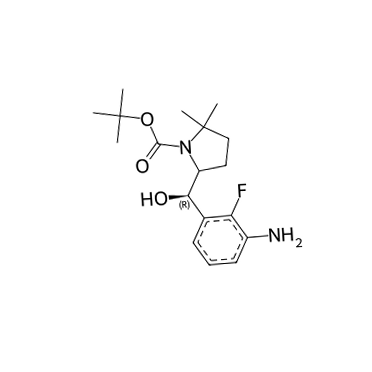 CC(C)(C)OC(=O)N1C([C@H](O)c2cccc(N)c2F)CCC1(C)C